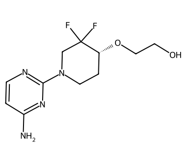 Nc1ccnc(N2CC[C@@H](OCCO)C(F)(F)C2)n1